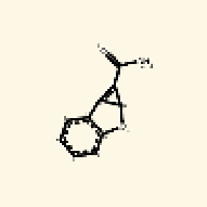 NC(=O)C1=C2c3ccccc3OC12